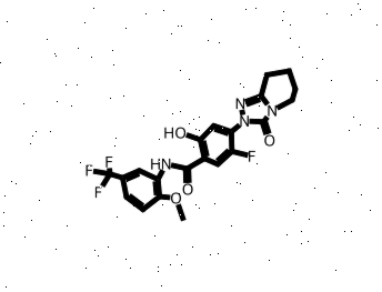 COc1ccc(C(F)(F)F)cc1NC(=O)c1cc(F)c(-n2nc3n(c2=O)CCCC3)cc1O